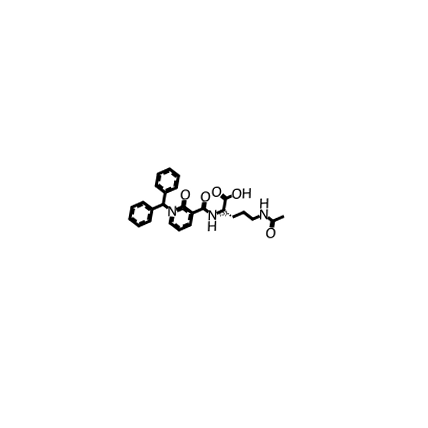 CC(=O)NCCC[C@H](NC(=O)c1cccn(C(c2ccccc2)c2ccccc2)c1=O)C(=O)O